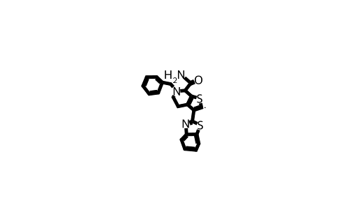 NC(=O)C1c2s[c]c(-c3nc4ccccc4s3)c2CCN1Cc1ccccc1